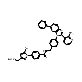 Nc1ncccc1-c1nc2ccc(-c3ccccc3)nc2n1-c1ccc(CNC(=O)c2ccc(-n3nc(CC(=O)O)cc3O)cc2)cc1